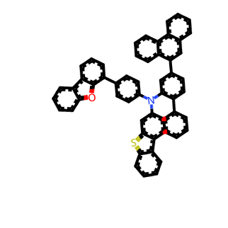 c1ccc(-c2ccc(-c3cc4ccccc4c4ccccc34)cc2N(c2ccc(-c3cccc4c3oc3ccccc34)cc2)c2ccc3c(c2)sc2ccccc23)cc1